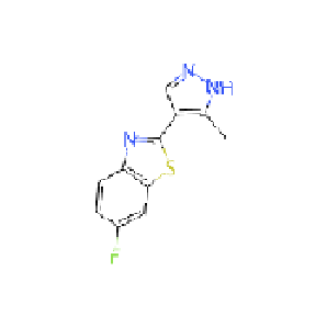 Cc1[nH]ncc1-c1nc2ccc(F)cc2s1